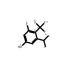 CC(C)c1cc(O)cc(F)c1C(F)(F)F